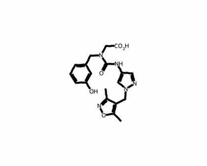 Cc1noc(C)c1Cn1cc(NC(=O)N(CC(=O)O)Cc2cccc(O)c2)cn1